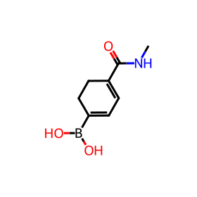 CNC(=O)C1=CC=C(B(O)O)CC1